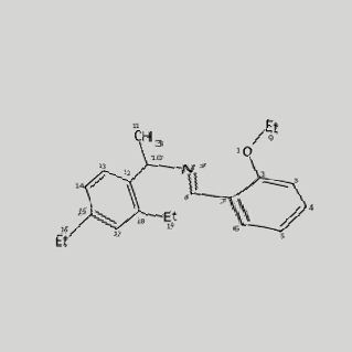 CCOc1ccccc1/C=N/C(C)c1ccc(CC)cc1CC